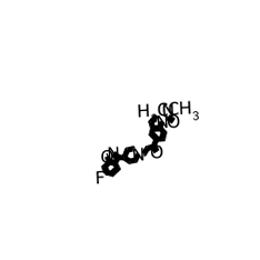 CN(C)C(=O)N1CCc2cc(C(=O)CCN3CCC(c4noc5cc(F)ccc45)CC3)ccc21